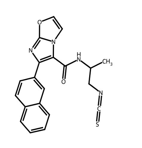 CC(CN=C=S)NC(=O)c1c(-c2ccc3ccccc3c2)nc2occn12